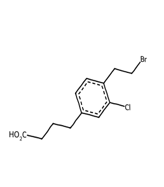 O=C(O)CCCc1ccc(CCBr)c(Cl)c1